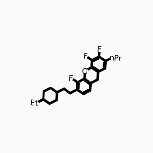 CCCc1cc2c(c(F)c1F)Oc1c(ccc(CCC3CCC(CC)CC3)c1F)C2